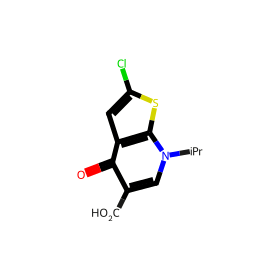 CC(C)n1cc(C(=O)O)c(=O)c2cc(Cl)sc21